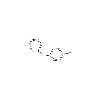 Clc1ccc(C[n+]2ccccc2)cc1